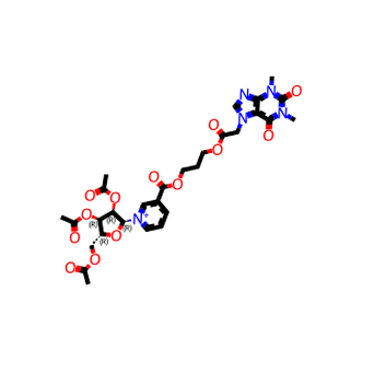 CC(=O)OC[C@H]1O[C@@H]([n+]2cccc(C(=O)OCCCOC(=O)Cn3cnc4c3c(=O)n(C)c(=O)n4C)c2)[C@H](OC(C)=O)[C@@H]1OC(C)=O